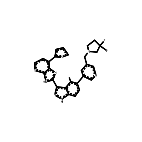 Fc1c(-c2cncc(CN3CCC(F)(F)C3)c2)ccc2[nH]nc(-c3nc4c(-c5cccs5)ccnc4[nH]3)c12